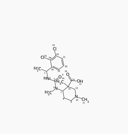 CC(NC(=O)N(C)C1CCN(C)CC1(C)C(=O)O)c1cccc(Cl)c1Cl